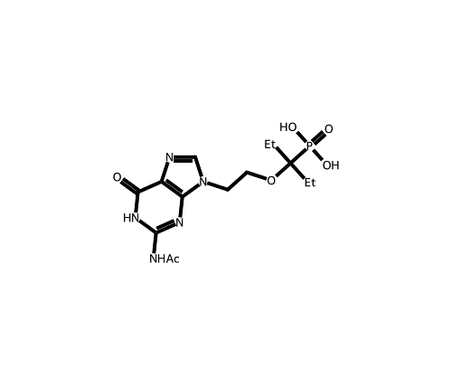 CCC(CC)(OCCn1cnc2c(=O)[nH]c(NC(C)=O)nc21)P(=O)(O)O